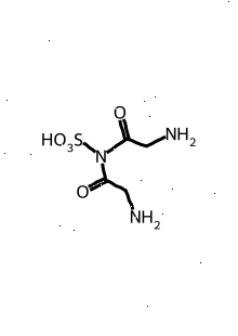 NCC(=O)N(C(=O)CN)S(=O)(=O)O